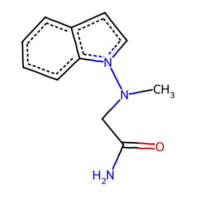 CN(CC(N)=O)n1ccc2ccccc21